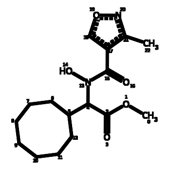 COC(=O)C(C1CCCCCCC1)N(O)C(=O)c1conc1C